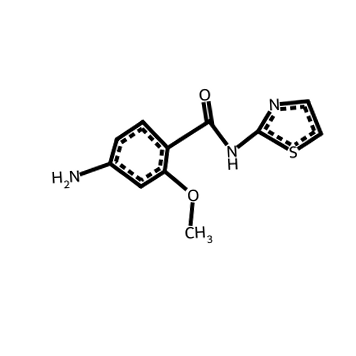 COc1cc(N)ccc1C(=O)Nc1nccs1